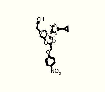 C#CCN1CC(OC(=O)COc2ccc([N+](=O)[O-])cc2)[N+]([O-])(c2nnc(C3CC3)s2)C1